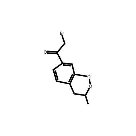 CC1Cc2ccc(C(=O)CBr)cc2OO1